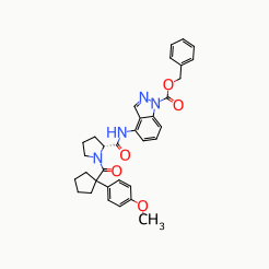 COc1ccc(C2(C(=O)N3CCC[C@@H]3C(=O)Nc3cccc4c3cnn4C(=O)OCc3ccccc3)CCCC2)cc1